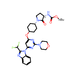 CCCCOC(=O)N[C@H]1CCN([C@H]2CC[C@H](Oc3cc(-n4c(C(F)F)nc5ccccc54)nc(N4CCOCC4)n3)CC2)C1=O